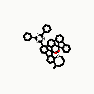 C=C1/C=C\C=C/Sc2c1ccc1c2C2(c3cc(-c4nc(-c5ccccc5)nc(-c5ccccc5)n4)ccc3-1)c1ccccc1C1(c3ccccc3-c3ccccc31)c1ccccc12